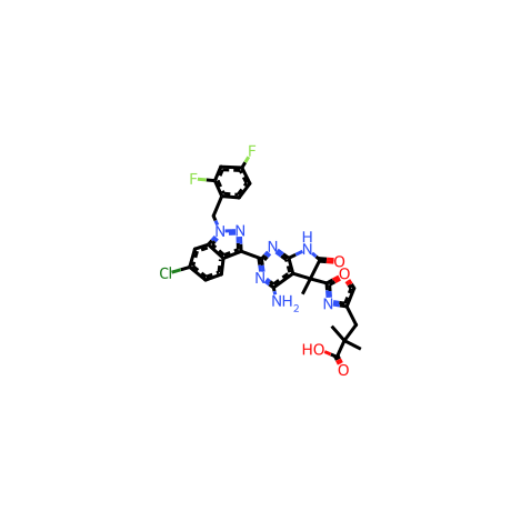 CC(C)(Cc1coc(C2(C)C(=O)Nc3nc(-c4nn(Cc5ccc(F)cc5F)c5cc(Cl)ccc45)nc(N)c32)n1)C(=O)O